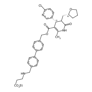 CCOC(=O)CCNCc1ccc(-c2ccc(COC(=O)C3=C(C)NC(=O)C(C[C@H]4CCCO4)[C@H]3c3ccc(Cl)nc3)cc2)cc1